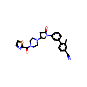 Cc1cc(C#N)ccc1-c1cccc(N2CC(N3CCN(C(=O)c4nccs4)CC3)CC2=O)c1